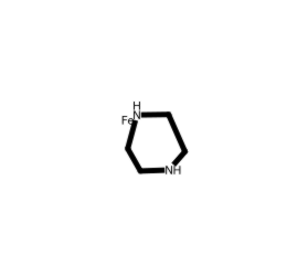 C1CNCCN1.[Fe]